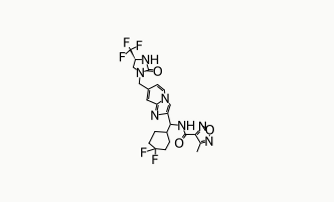 Cc1nonc1C(=O)NC(c1cn2ccc(CN3C[C@@H](C(F)(F)F)NC3=O)cc2n1)C1CCC(F)(F)CC1